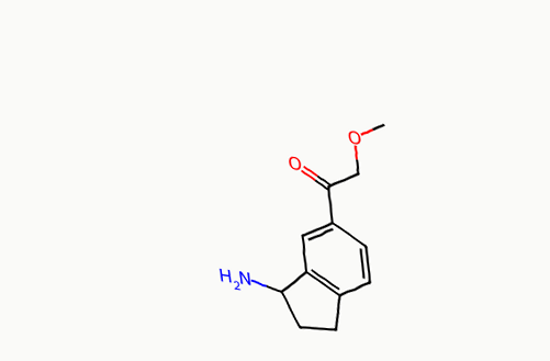 COCC(=O)c1ccc2c(c1)C(N)CC2